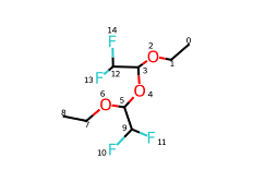 CCOC(OC(OCC)C(F)F)C(F)F